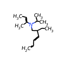 C=C/C=C/C(CC)CN(/C(C)=C/C)C(C)C